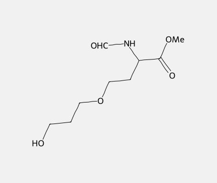 COC(=O)C(CCOCCCO)NC=O